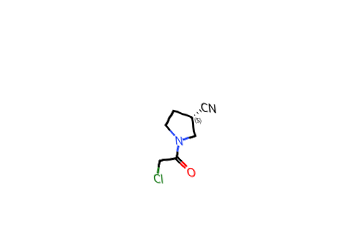 N#C[C@H]1CCN(C(=O)CCl)C1